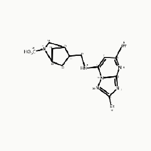 CCc1nc2nc(C(C)C)cc(NCC3CC4CC3CN4C(=O)O)n2n1